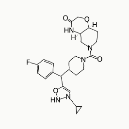 O=C1CO[C@H]2CCN(C(=O)N3CCC(C(C4=CN(C5CC5)NO4)c4ccc(F)cc4)CC3)C[C@H]2N1